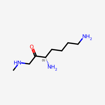 CNCC(=O)[C@@H](N)CCCCN